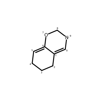 C1=C2CCCC=C2OC[N]1